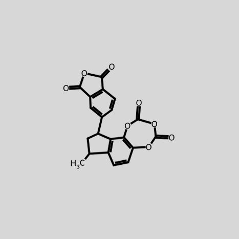 CC1CC(c2ccc3c(c2)C(=O)OC3=O)c2c1ccc1c2OC(=O)OC(=O)O1